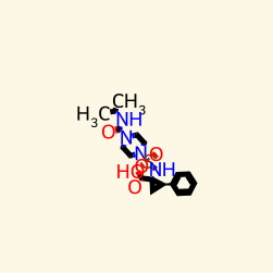 CC(C)NC(=O)N1CCN(S(=O)(=O)N[C@@]2(C(=O)O)C[C@@H]2c2ccccc2)CC1